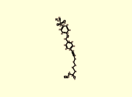 CC(C)(C)OC(=O)CCCCCC#Cc1ccc(COc2ccc(S(N)(=O)=O)cc2)cc1